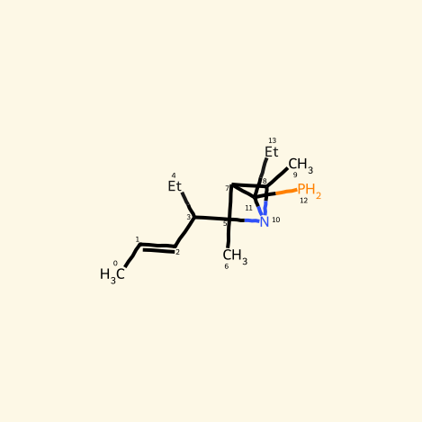 CC=CC(CC)C1(C)C2C(C)N1C2(P)CC